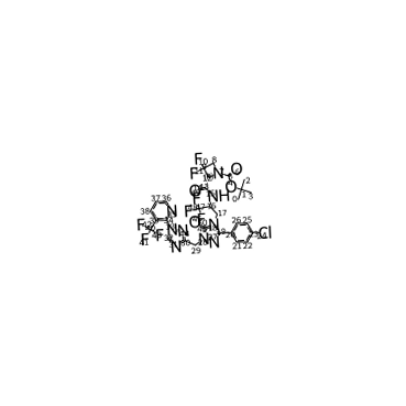 CC(C)(C)OC(=O)N1CC(F)(F)[C@H]1C(=O)NC(Cn1c(-c2ccc(Cl)cc2)nn(Cc2ncn(-c3ncccc3C(F)(F)F)n2)c1=O)C(F)(F)F